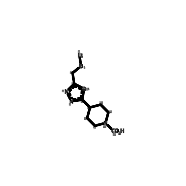 CCOCc1nnc(C2CCN(C(=O)O)CC2)o1